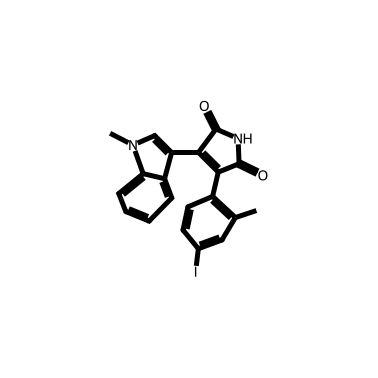 Cc1cc(I)ccc1C1=C(c2cn(C)c3ccccc23)C(=O)NC1=O